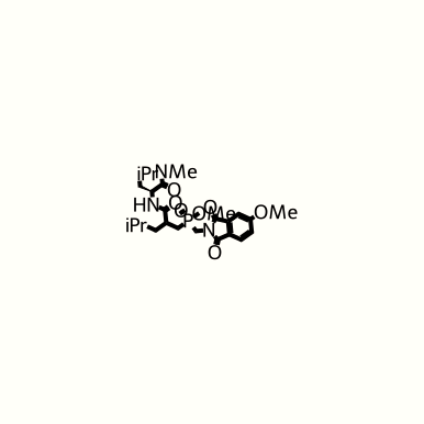 CNC(=O)[C@H](CC(C)C)NC(=O)C(CC(C)C)CP(=O)(CN1C(=O)c2ccc(OC)cc2C1=O)OC